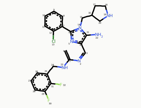 C=C(/N=C\c1nc(-c2ccccc2Cl)n(CC2CCNC2)c1N)NCc1cccc(F)c1F